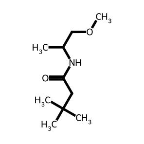 COCC(C)NC(=O)CC(C)(C)C